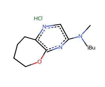 CCC(C)N(C)c1cnc2c(n1)OCCCC2.Cl